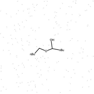 CCCCCOC(O)CCCC